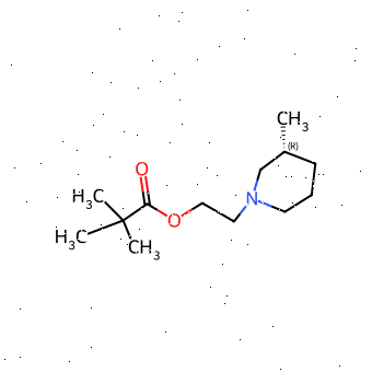 C[C@@H]1CCCN(CCOC(=O)C(C)(C)C)C1